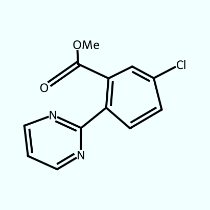 COC(=O)c1cc(Cl)ccc1-c1ncccn1